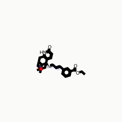 C/C=C1\C2C=C(C)CC1(/N=C/C=C/c1cccc(C(=O)OCC)c1)c1ccc(=O)[nH]c1C2